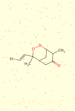 CC/C=C/C1(C)OOC2CC1CC(=O)C2C